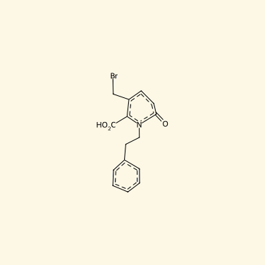 O=C(O)c1c(CBr)ccc(=O)n1CCc1ccccc1